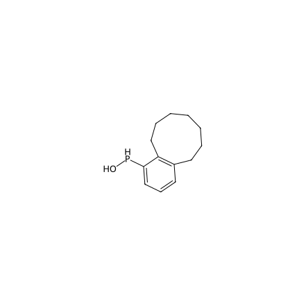 OPc1cccc2c1CCCCCCC2